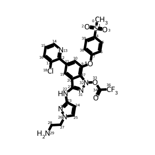 CS(=O)(=O)c1ccc(Oc2cc(-c3ncccc3Cl)cc3c(Nc4ccn(CCN)n4)nn(OC(=O)C(F)(F)F)c23)cc1